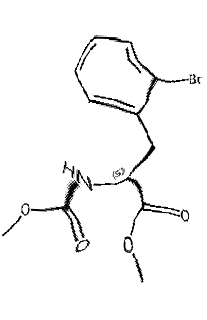 COC(=O)N[C@@H](Cc1ccccc1Br)C(=O)OC